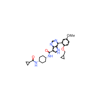 COc1ccc(OCC2CC2)c(-c2ncnc3c(C(=O)N[C@H]4CC[C@@H](NC(=O)C5CC5)CC4)c[nH]c23)c1